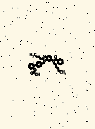 CCCCCCN(C(=O)C1CCCCC1)c1ccc2nc(CCCC)n(Cc3ccc(-c4ccccc4OC(=O)O)cc3)c2c1